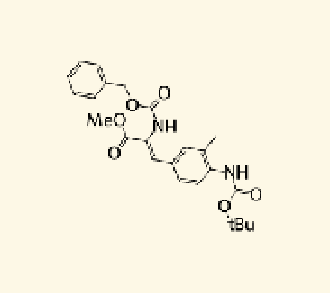 COC(=O)C(=Cc1ccc(NC(=O)OC(C)(C)C)c(C)c1)NC(=O)OCc1ccccc1